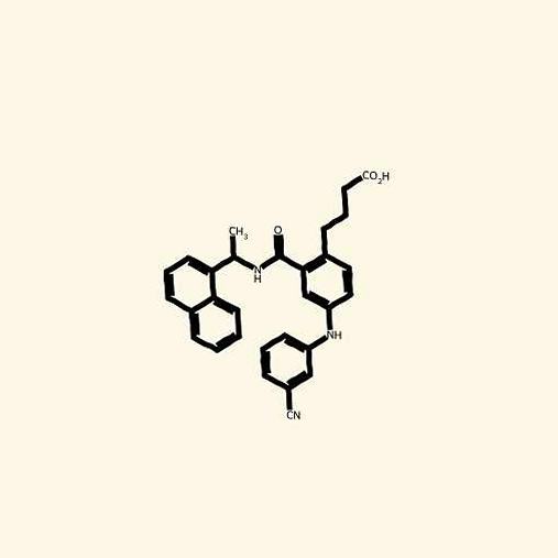 CC(NC(=O)c1cc(Nc2cccc(C#N)c2)ccc1CCCC(=O)O)c1cccc2ccccc12